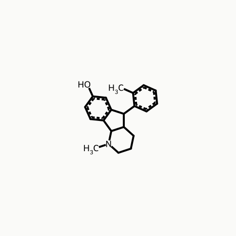 Cc1ccccc1C1c2cc(O)ccc2C2C1CCCN2C